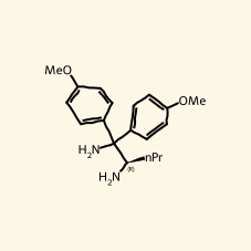 CCC[C@@H](N)C(N)(c1ccc(OC)cc1)c1ccc(OC)cc1